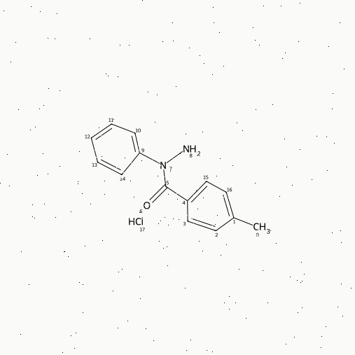 Cc1ccc(C(=O)N(N)c2ccccc2)cc1.Cl